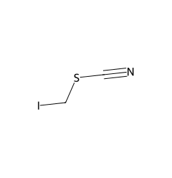 N#CSCI